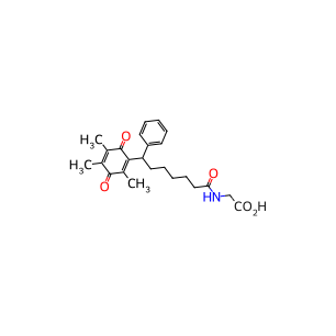 CC1=C(C)C(=O)C(C(CCCCCC(=O)NCC(=O)O)c2ccccc2)=C(C)C1=O